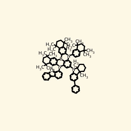 CC1(C)CCC(C)(C)c2cc(N3c4cc5c(cc4B4c6cc7c(cc6N(c6cccc8c6oc6ccccc68)c6cc(N8c9ccc(-c%10ccccc%10)cc9C9(C)CCCCC89C)cc3c64)C(C)(C)CCC7(C)C)C(C)(C)CCC5(C)C)ccc21